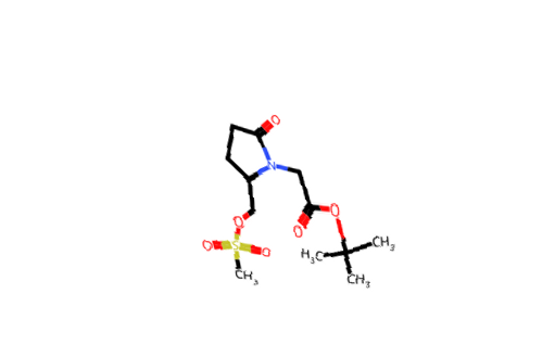 CC(C)(C)OC(=O)CN1C(=O)CCC1COS(C)(=O)=O